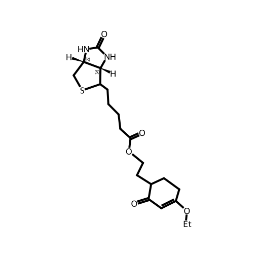 CCOC1=CC(=O)C(CCOC(=O)CCCCC2SC[C@@H]3NC(=O)N[C@H]23)CC1